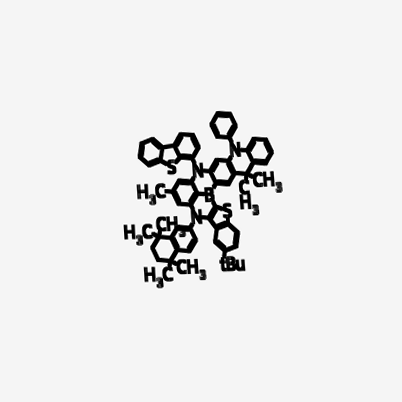 Cc1cc2c3c(c1)N(c1cccc4c1sc1ccccc14)c1cc4c(cc1B3c1sc3ccc(C(C)(C)C)cc3c1N2c1ccc2c(c1)C(C)(C)CCC2(C)C)C(C)(C)c1ccccc1N4c1ccccc1